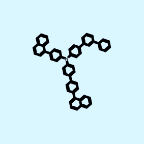 c1ccc(-c2cccc(-c3ccc(N(c4ccc(-c5ccc(-c6cccc7ccccc67)cc5)cc4)c4ccc(-c5cccc6ccccc56)cc4)cc3)c2)cc1